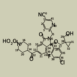 N#Cc1ccc(CN2C(=O)c3cc(C(=O)C4CCN(C(=O)O)CC4)cc(F)c3[C@]2(OCC2(CO)CC2)c2ccc(Cl)cc2)nc1